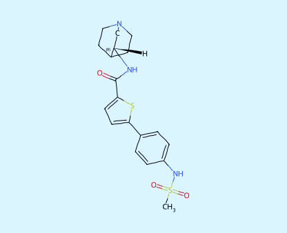 CS(=O)(=O)Nc1ccc(-c2ccc(C(=O)N[C@H]3CN4CCC3CC4)s2)cc1